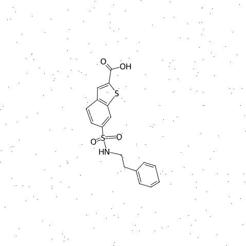 O=C(O)c1cc2ccc(S(=O)(=O)NCCc3ccccc3)cc2s1